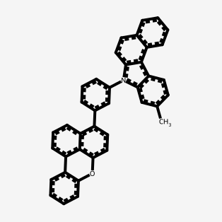 Cc1ccc2c3c4ccccc4ccc3n(-c3cccc(-c4ccc5c6c(cccc46)-c4ccccc4O5)c3)c2c1